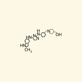 Cc1cc2cc(Nc3ccnc(Nc4cccc(CN5CCC(CO)CC5)c4)n3)ccc2[nH]1